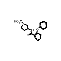 O=C(NC1CCN(C(=O)O)C1)c1ccccc1Oc1ccccc1